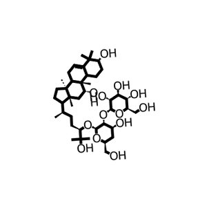 C[C@H](CC[C@@H](O[C@@H]1O[C@H](CO)C[C@H](O)[C@H]1O[C@@H]1O[C@H](CO)[C@@H](O)[C@H](O)[C@H]1O)C(C)(C)O)C1CC[C@@]2(C)C3CC=C4C(CC[C@H](O)C4(C)C)[C@]3(C)[C@H](O)C[C@]12C